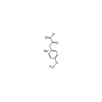 COc1ccc(CC(=O)C(=O)[O-])cc1.[Na+]